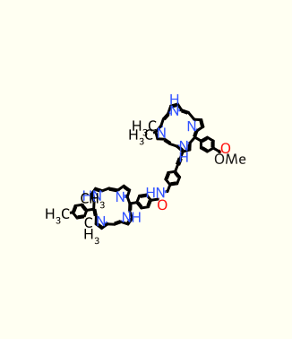 COC(=O)c1ccc(-c2c3nc(cc4ccc(cc5nc(cc6[nH]c2cc6C#Cc2ccc(CNC(=O)c6ccc(-c7c8nc(cc9ccc([nH]9)c(-c9c(C)cc(C)cc9C)c9nc(cc%10ccc7[nH]%10)C=C9)C=C8)cc6)cc2)CC5(C)C)[nH]4)C=C3)cc1